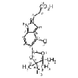 CC1(C)OB(c2ccc3nn(CCC(=O)O)cc3c2Cl)OC1(C)C